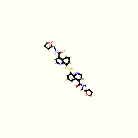 O=C(NC[C@H]1CCCO1)c1ccnc2c(SSc3cccc4c(C(=O)NC[C@H]5CCCO5)ccnc34)cccc12